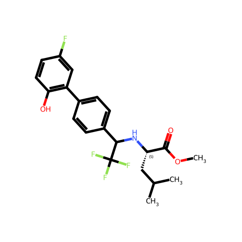 COC(=O)[C@H](CC(C)C)NC(c1ccc(-c2cc(F)ccc2O)cc1)C(F)(F)F